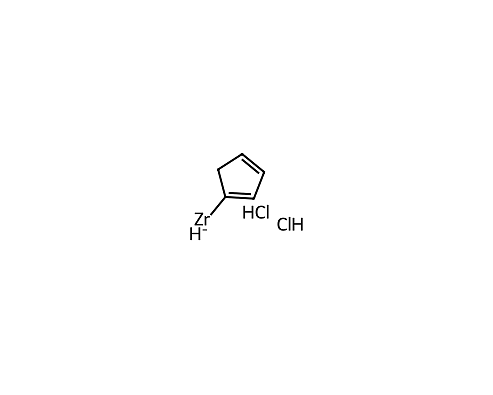 Cl.Cl.[H-].[Zr][C]1=CC=CC1